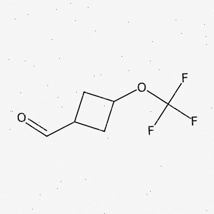 O=CC1CC(OC(F)(F)F)C1